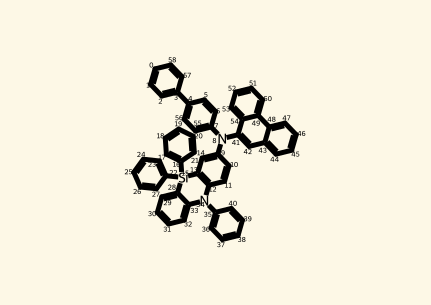 c1ccc(-c2ccc(N(c3ccc4c(c3)[Si](c3ccccc3)(c3ccccc3)c3ccccc3N4c3ccccc3)c3cc4ccccc4c4ccccc34)cc2)cc1